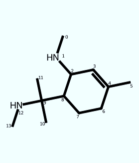 CNC1C=C(C)CCC1C(C)(C)NC